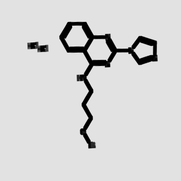 CCOCCCNc1nc(-n2ccnc2)nc2ccccc12.Cl.Cl